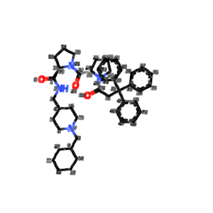 O=C(NCC1CCN(CC2CCCCC2)CC1)[C@H]1CCCN1C(=O)[C@@H]1CCCN1C(=O)CC(c1ccccc1)(c1ccccc1)c1ccccc1